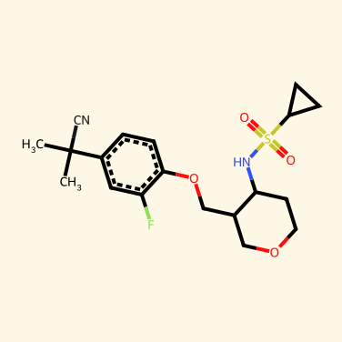 CC(C)(C#N)c1ccc(OCC2COCCC2NS(=O)(=O)C2CC2)c(F)c1